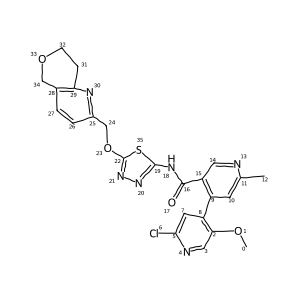 COc1cnc(Cl)cc1-c1cc(C)ncc1C(=O)Nc1nnc(OCc2ccc3c(n2)CCOC3)s1